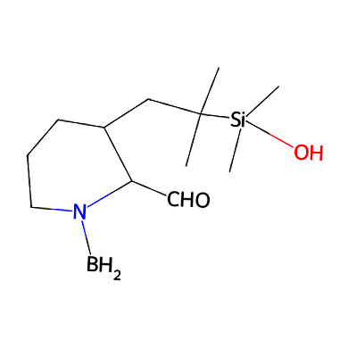 BN1CCCC(CC(C)(C)[Si](C)(C)O)C1C=O